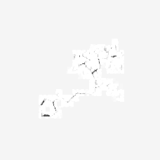 C[As](CCCSc1ccccc1)CCC(O)(P(=O)(O)O)P(=O)(O)O